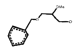 COC(C[O])COCc1ccccc1